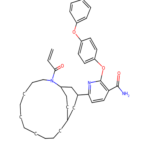 C=CC(=O)N1CCCCCCCCCCC2CCC1CC(c1ccc(C(N)=O)c(Oc3ccc(Oc4ccccc4)cc3)n1)C2